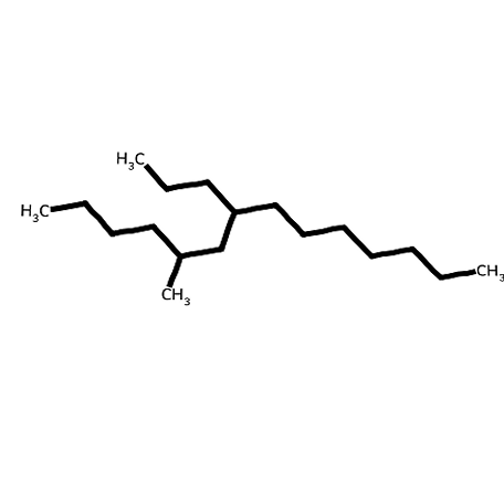 CCCCCCCC(CCC)CC(C)CCCC